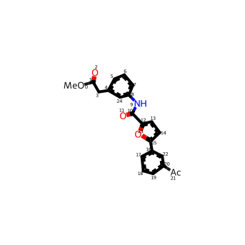 COC(=O)Cc1cccc(NC(=O)c2ccc(-c3cccc(C(C)=O)c3)o2)c1